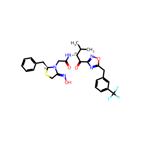 CC(C)[C@@H](NC(=O)CN1C(=NO)CS[C@H]1Cc1ccccc1)C(=O)c1noc(Cc2cccc(C(F)(F)F)c2)n1